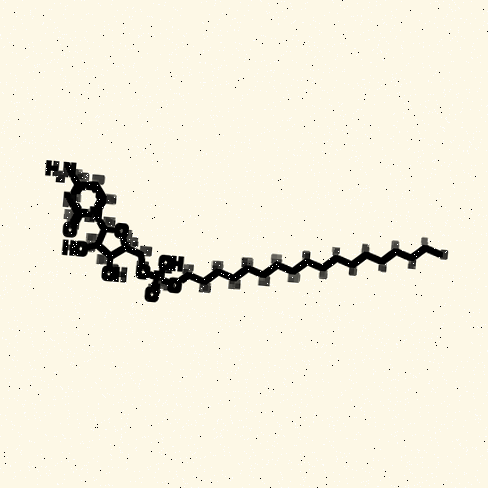 CCCCCCCCCCCCCCCCCCOP(=O)(O)OCC1OC(n2ccc(N)nc2=O)C(O)C1O